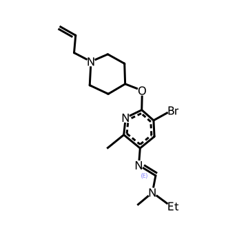 C=CCN1CCC(Oc2nc(C)c(/N=C/N(C)CC)cc2Br)CC1